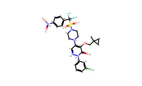 CC1(COc2c(N3CCN(S(=O)(=O)C(F)(F)c4ccc([N+](=O)[O-])cc4)CC3)cnn(-c3cccc(Cl)c3)c2=O)CC1